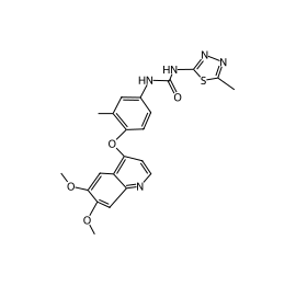 COc1cc2nccc(Oc3ccc(NC(=O)Nc4nnc(C)s4)cc3C)c2cc1OC